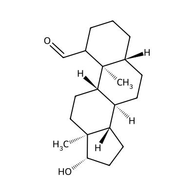 C[C@]12CC[C@H]3[C@@H](CC[C@H]4CCCC(C=O)[C@@]43C)[C@@H]1CC[C@@H]2O